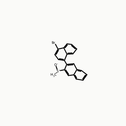 C[S+]([O-])c1cc2ccccc2cc1-c1ccc(Br)c2ccccc12